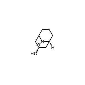 CC(C)N1C2CCC[C@@H]1C[C@@H](O)C2